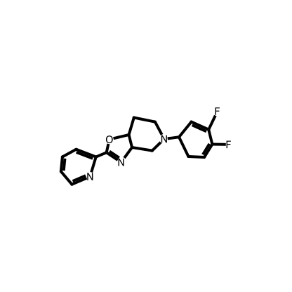 FC1=CCC(N2CCC3OC(c4ccccn4)=NC3C2)C=C1F